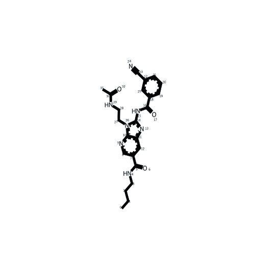 CCCCNC(=O)c1cnc2c(c1)nc(NC(=O)c1cccc(C#N)c1)n2CCNC(C)=O